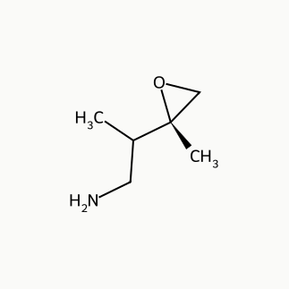 CC(CN)[C@@]1(C)CO1